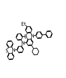 CCc1ccc2c(c1)B1c3ccccc3N(c3cccc(N4c5ccccc5Sc5ccccc54)c3)c3cc(C4CCCCC4)cc(c31)N2c1ccc(-c2ccccc2)cc1